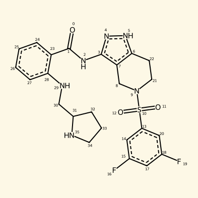 O=C(Nc1n[nH]c2c1CN(S(=O)(=O)c1cc(F)cc(F)c1)CC2)c1ccccc1NCC1CCCN1